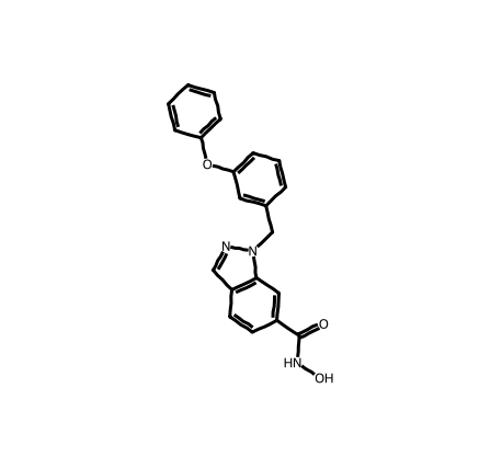 O=C(NO)c1ccc2cnn(Cc3cccc(Oc4ccccc4)c3)c2c1